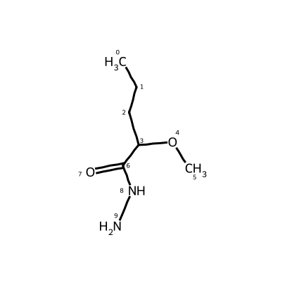 CCCC(OC)C(=O)NN